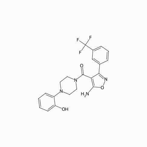 Nc1onc(-c2cccc(C(F)(F)F)c2)c1C(=O)N1CCN(c2ccccc2O)CC1